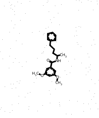 COc1cc(OC)cc(C(=O)NC(C)CCCc2ccccc2)c1